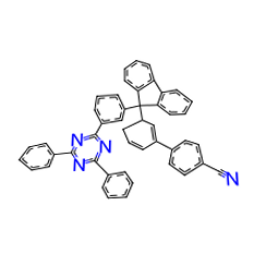 N#Cc1ccc(C2=CC(C3(c4cccc(-c5nc(-c6ccccc6)nc(-c6ccccc6)n5)c4)c4ccccc4-c4ccccc43)CC=C2)cc1